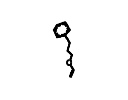 C=COCCCc1ccccc1